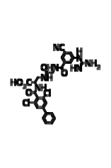 N#Cc1cc(NC(=N)N)cc(C(=O)NCC(=O)NC[C@@H](NC(=O)c2c(Cl)cc(-c3ccccc3)cc2Cl)C(=O)O)c1